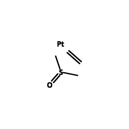 C=C.CS(C)=O.[Pt]